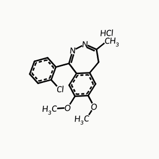 COc1cc2c(cc1OC)C(c1ccccc1Cl)=NN=C(C)C2.Cl